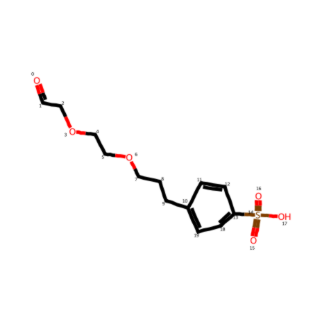 O=CCOCCOCCCc1ccc(S(=O)(=O)O)cc1